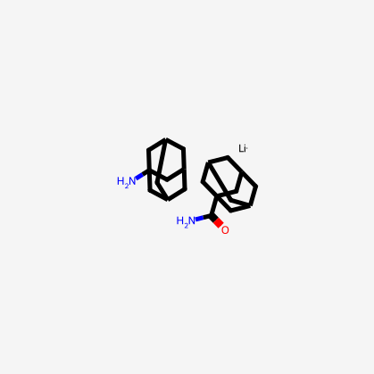 NC(=O)C12CC3CC(CC(C3)C1)C2.NC12CC3CC(CC(C3)C1)C2.[Li]